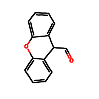 O=CC1c2ccccc2Oc2ccccc21